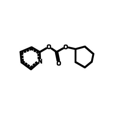 O=C(Oc1ccccn1)OC1CCCCC1